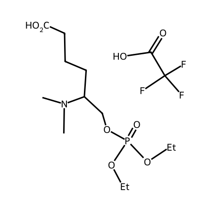 CCOP(=O)(OCC)OCC(CCCC(=O)O)N(C)C.O=C(O)C(F)(F)F